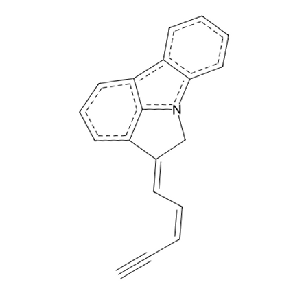 C#C/C=C\C=C1/Cn2c3ccccc3c3cccc1c32